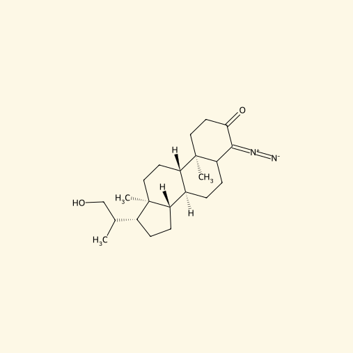 CC(CO)[C@H]1CC[C@H]2[C@@H]3CCC4C(=[N+]=[N-])C(=O)CC[C@]4(C)[C@H]3CC[C@]12C